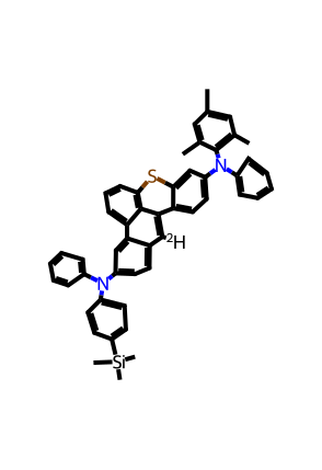 [2H]c1c2c3c(cccc3c3cc(N(c4ccccc4)c4ccc([Si](C)(C)C)cc4)ccc13)Sc1cc(N(c3ccccc3)c3c(C)cc(C)cc3C)ccc1-2